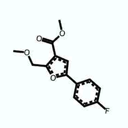 COCc1oc(-c2ccc(F)cc2)cc1C(=O)OC